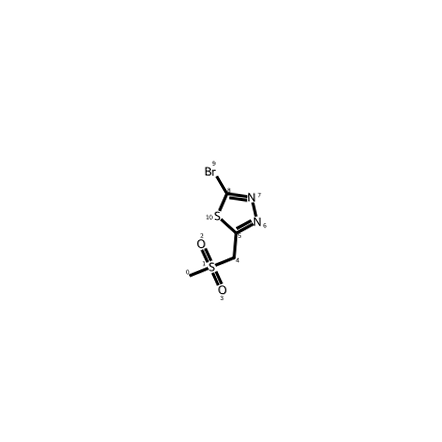 CS(=O)(=O)Cc1nnc(Br)s1